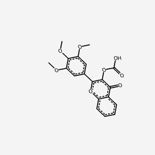 COc1cc(-c2oc3ccccc3c(=O)c2OC(=O)O)cc(OC)c1OC